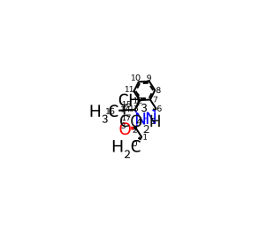 C=CC(=O)N1N=Cc2ccccc2C1C(C)(C)C(=O)O